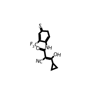 N#CC(C(=O)NC1=CCC(=S)C=C1C(F)(F)F)=C(O)C1CC1